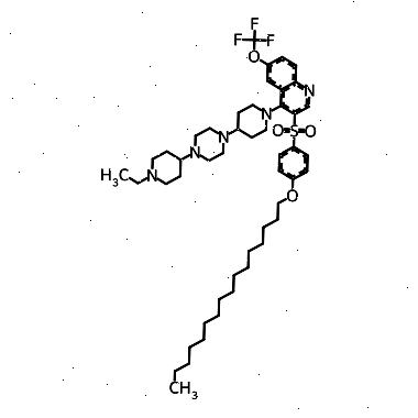 CCCCCCCCCCCCCCCCOc1ccc(S(=O)(=O)c2cnc3ccc(OC(F)(F)F)cc3c2N2CCC(N3CCN(C4CCN(CC)CC4)CC3)CC2)cc1